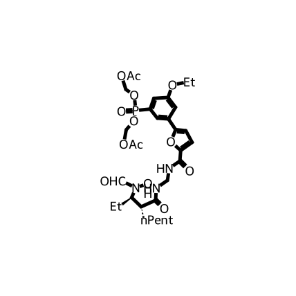 CCCCC[C@@H](C(=O)NCNC(=O)c1ccc(-c2cc(OCC)cc(P(=O)(OCOC(C)=O)OCOC(C)=O)c2)o1)[C@@H](CC)N(O)C=O